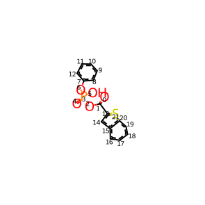 O=C(OP(=O)(O)Oc1ccccc1)c1cc2ccccc2s1